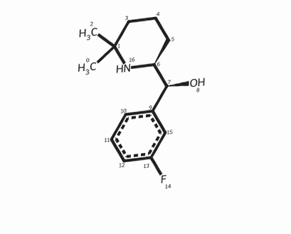 CC1(C)CCC[C@@H]([C@@H](O)c2cccc(F)c2)N1